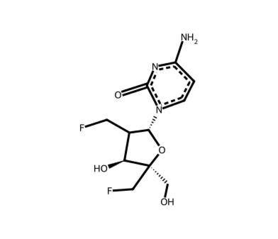 Nc1ccn([C@@H]2O[C@@](CO)(CF)[C@@H](O)C2CF)c(=O)n1